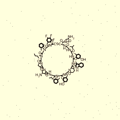 CCCC[C@H]1C(=O)N2CCC[C@@H]2C(=O)N2C[C@H](N)C[C@H]2C(=O)N[C@@H](C(C)C)C(=O)N(C)[C@@H](Cc2ccccc2)C(=O)N[C@@H](Cc2ccc(O)cc2)C(=O)N2CCCCC2C(=O)N[C@@H](Cc2c[nH]c3ccccc23)C(=O)N[C@@H](Cc2ccc(O)cc2)C(=O)N[C@@H](CC(C)C)C(=O)N[C@H](C(=O)NCC(N)=O)CSCC(=O)N[C@@H](Cc2cc(F)c(F)c(F)c2)C(=O)N(C)[C@@H](Cc2ccccc2)C(=O)N1C